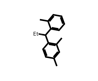 CCC(c1ccccc1C)c1ccc(C)cc1C